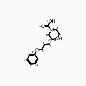 O=C(O)N1CCN[C@H](CCCOc2ccccc2)C1